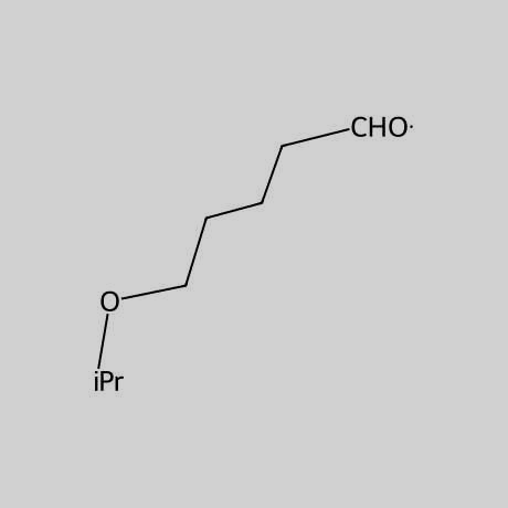 CC(C)OCCCC[C]=O